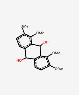 COc1ccc2c(c1OC)C(O)c1c(ccc(OC)c1OC)C2O